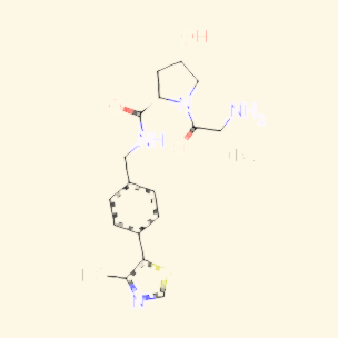 Cc1ncsc1-c1ccc(CNC(=O)[C@H]2C[C@H](O)CN2C(=O)[C@H](N)C(C)(C)C)cc1